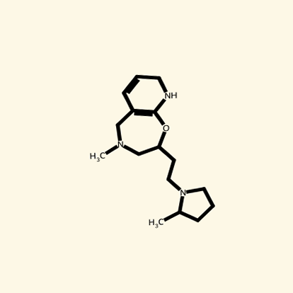 CC1CCCN1CCC1CN(C)CC2=C(NCC=C2)O1